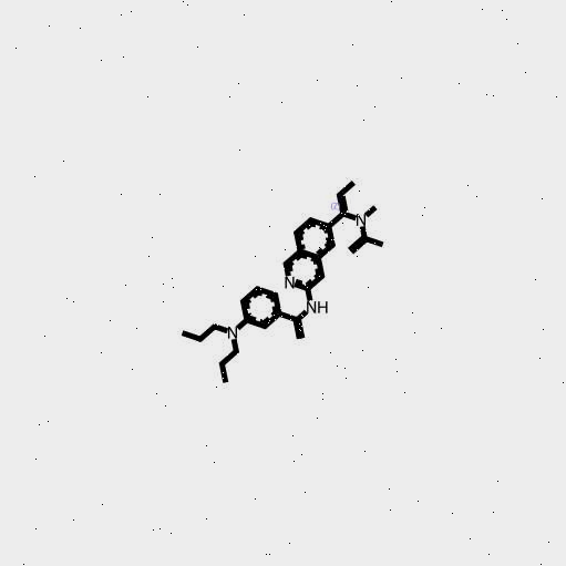 C=C(Nc1cc2cc(/C(=C/C)N(C)C(=C)C)ccc2cn1)c1cccc(N(CCC)CCC)c1